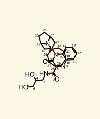 O=C(NCC(O)CO)c1nc2ccccc2n(C2CC3CCC(C2)N3C2CCCCCCC2)c1=O